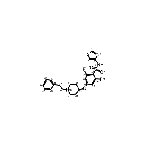 O=S(=O)(Nc1cscn1)c1c(F)cc(OC2CCN(CCc3ccccc3)CC2)cc1F